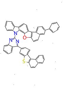 c1ccc(-c2ccc3c(ccc4oc5c(ccc6c7ccccc7n(-c7nc(-c8ccc9c(c8)sc8ccc%10ccccc%10c89)c8ccccc8n7)c65)c43)c2)cc1